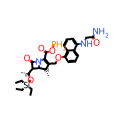 CC[Si](CC)(CC)O[C@H](C)C1C(=O)N2C(C(=O)OP)=C(COc3cccc4c(NCC(N)=O)cccc34)[C@H](C)C12